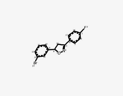 Fc1ccc(C2=NOC(c3cccc(Br)c3)C2)cc1